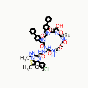 Cc1sc2c(c1C)C(c1ccc(Cl)cc1)=N[C@@H](CC(=O)NC[C@H]1NC(=O)[C@@H](Cc3ccc(-c4ccccc4)cc3)NC(=O)[C@@H](Cc3ccc(-c4ccccc4)cc3)NC(=O)[C@@H]3C[C@@H](O)CN3C(=O)[C@H](C(C)(C)C)NC(=O)COCCNC1=O)c1nnc(C)n1-2